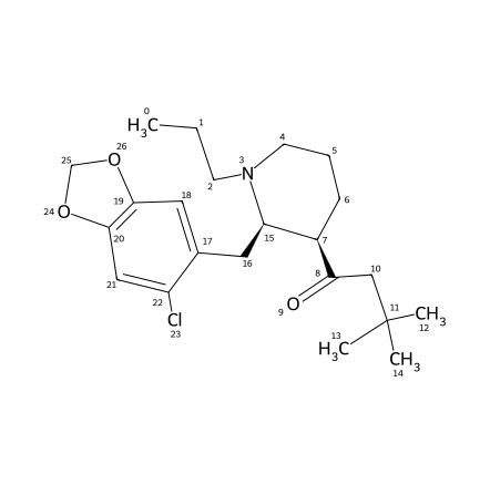 CCCN1CCC[C@@H](C(=O)CC(C)(C)C)[C@H]1Cc1cc2c(cc1Cl)OCO2